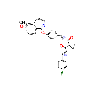 COC1=CC=C=C2C(=C1)C=C=CN=C2Oc1ccc(/C=C/C(=O)C2(C(=O)/C=C/c3ccc(F)cc3)CC2)cc1